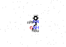 CCCCC(=O)NCCc1nc2ccccc2n1CCC